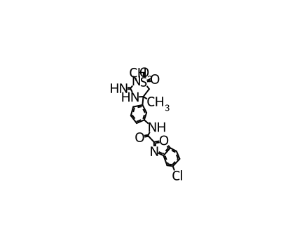 CN1C(=N)NC(C)(c2cccc(NC(=O)c3nc4cc(Cl)ccc4o3)c2)CS1(=O)=O